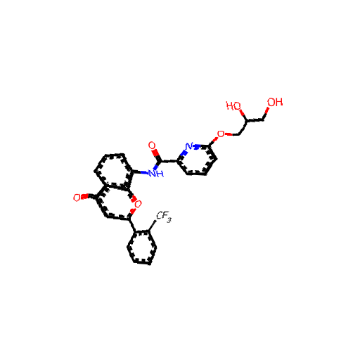 O=C(Nc1cccc2c(=O)cc(-c3ccccc3C(F)(F)F)oc12)c1cccc(OCC(O)CO)n1